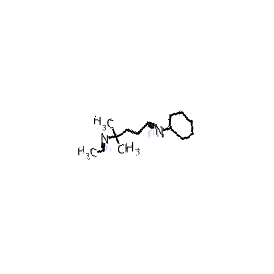 C/C=N/C(C)(C)CC/C=N/C1CCCCC1